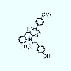 COc1ccc(C(=O)NC(Cc2ccccc2)C(=O)NC(Cc2ccc(O)cc2)C(=O)O)cc1